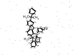 CC(C)(c1ccccc1)c1ccc2c(c1)Cc1c-2ccc(C(C)(C)c2ccccc2)[c]1[Ti+2]([C]1=CC=CC1)=[C]1CCCC1.[Cl-].[Cl-]